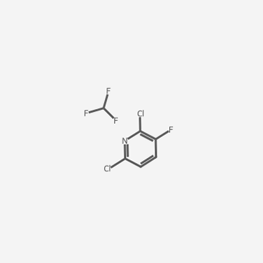 FC(F)F.Fc1ccc(Cl)nc1Cl